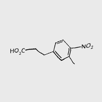 Cc1cc(CCC(=O)O)ccc1[N+](=O)[O-]